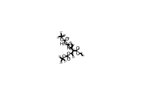 CCOC(=O)C(c1csc(NC(=O)OC(C)(C)C)n1)C(C)OC(=O)OC(C)(C)C